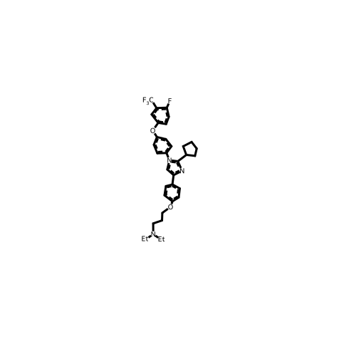 CCN(CC)CCCOc1ccc(-c2cn(-c3ccc(Oc4ccc(F)c(C(F)(F)F)c4)cc3)c(C3CCCC3)n2)cc1